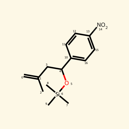 C=C(C)CC(O[Si](C)(C)C)c1ccc([N+](=O)[O-])cc1